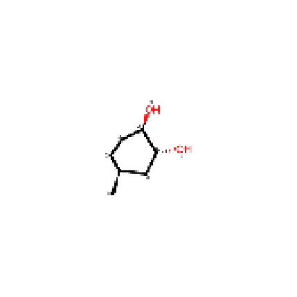 C[C@H]1CC[C@@H](O)[C@H](O)C1